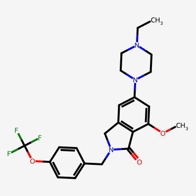 CCN1CCN(c2cc3c(c(OC)c2)C(=O)N(Cc2ccc(OC(F)(F)F)cc2)C3)CC1